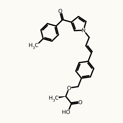 Cc1ccc(C(=O)c2ccn(C/C=C/c3ccc(CO[C@H](C)C(=O)O)cc3)c2)cc1